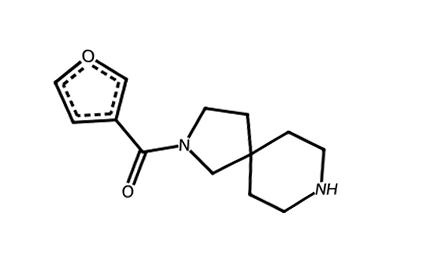 O=C(c1ccoc1)N1CCC2(CCNCC2)C1